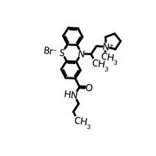 CCCNC(=O)c1ccc2c(c1)N(C(C)C[N+]1(C)CCCC1)c1ccccc1S2.[Br-]